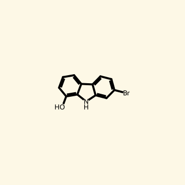 Oc1cccc2c1[nH]c1cc(Br)ccc12